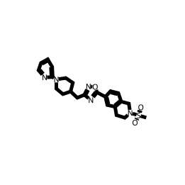 CS(=O)(=O)N1CCc2cc(-c3nc(CC4CCN(c5ccccn5)CC4)no3)ccc2C1